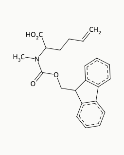 C=CCCC(C(=O)O)N(C)C(=O)OCC1c2ccccc2-c2ccccc21